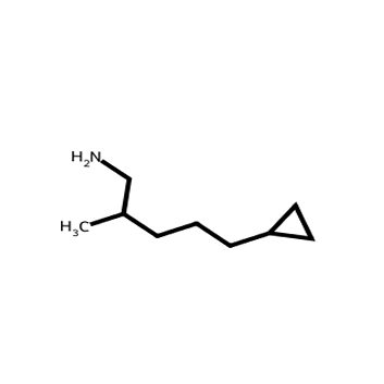 CC(CN)CCCC1CC1